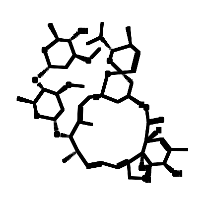 CO[C@H]1C[C@H](O[C@H]2[C@H](C)O[C@@H](O[C@@H]3/C(C)=C/C[C@@H]4C[C@@H](C[C@]5(C=C[C@H](C)[C@@H](C(C)C)O5)O4)OC(=O)[C@@H]4C=C(C)[C@@H](O)[C@H]5OC/C(=C/C=C/[C@@H]3C)[C@]54O)C[C@@H]2OC)O[C@@H](C)[C@@H]1O